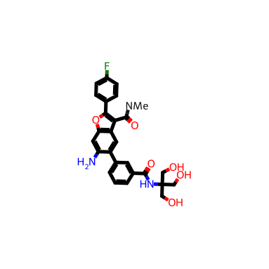 CNC(=O)c1c(-c2ccc(F)cc2)oc2cc(N)c(-c3cccc(C(=O)NC(CO)(CO)CO)c3)cc12